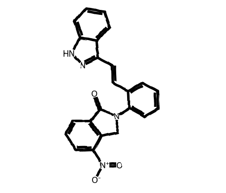 O=C1c2cccc([N+](=O)[O-])c2CN1c1ccccc1C=Cc1n[nH]c2ccccc12